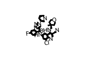 BC(Nc1cc(Cl)c2ncc(C#N)c(NCC3(C)CCOCC3)c2c1)(c1ccc(F)cc1)c1cn(-c2cccnc2)nn1